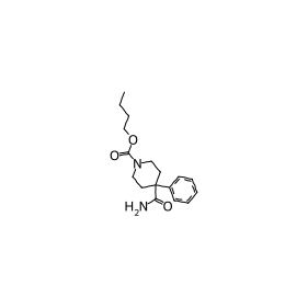 CCCCOC(=O)N1CCC(C(N)=O)(c2ccccc2)CC1